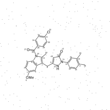 COc1ccc2c(c1)c(Cc1cc(=O)n(-c3ccc(C)c(C)c3)[nH]1)c(C)n2C(=O)c1ccc(Cl)cc1